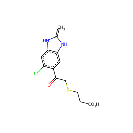 C=C1Nc2cc(Cl)c(C(=O)CSCCC(=O)O)cc2N1